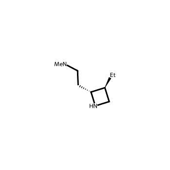 CC[C@H]1CN[C@@H]1CCNC